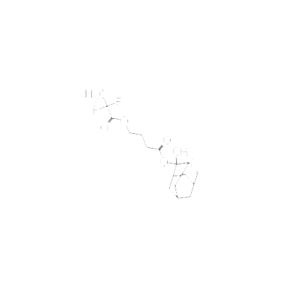 CC(F)(F)C(=O)OCCCC(=O)OC1(C)C2CC3CC(C2)CC1C3